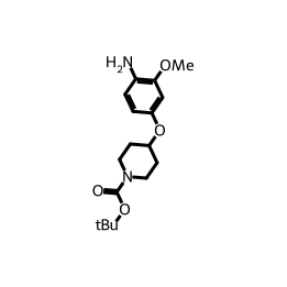 COc1cc(OC2CCN(C(=O)OC(C)(C)C)CC2)ccc1N